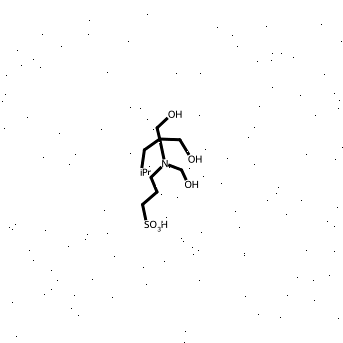 CC(C)CC(CO)(CO)N(CO)CCCS(=O)(=O)O